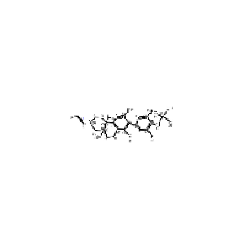 C/C=C/[C@@H]1CC[C@@H]2c3cc(F)c(-c4cc(F)c(OC(F)(F)F)c(F)c4)c(F)c3CC[C@@H]2C1